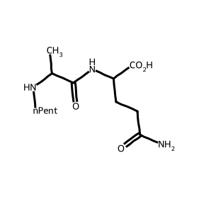 CCCCCNC(C)C(=O)NC(CCC(N)=O)C(=O)O